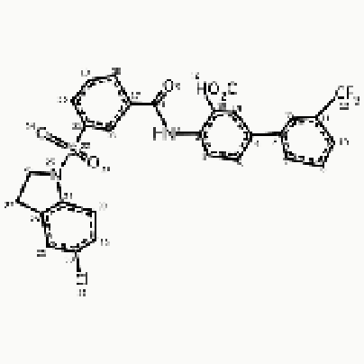 O=C(Nc1ccc(-c2cccc(C(F)(F)F)c2)cc1C(=O)O)c1cccc(S(=O)(=O)N2CCc3cc(Cl)ccc32)c1